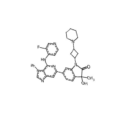 CC(C)n1cnc2cc(-c3ccc4c(c3)N(C3CC(N5CCCCC5)C3)C(=O)C4(C)O)nc(Nc3ccncc3F)c21